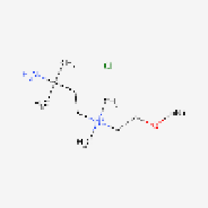 CCCCOCC[N+](C)(C)CCC(C)(C)N.[Cl-]